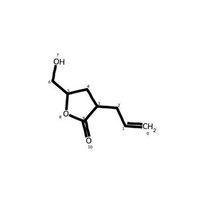 C=CCC1CC(CO)OC1=O